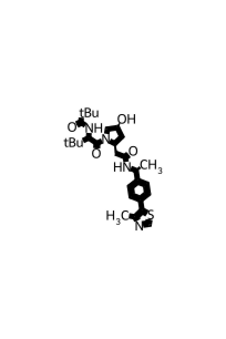 Cc1ncsc1-c1ccc([C@H](C)NC(=O)C[C@@H]2C[C@@H](O)CN2C(=O)C(NC(=O)C(C)(C)C)C(C)(C)C)cc1